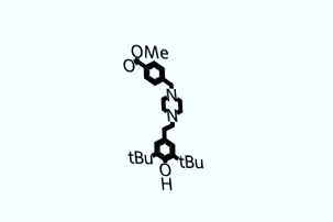 COC(=O)c1ccc(CN2CCN(CCc3cc(C(C)(C)C)c(O)c(C(C)(C)C)c3)CC2)cc1